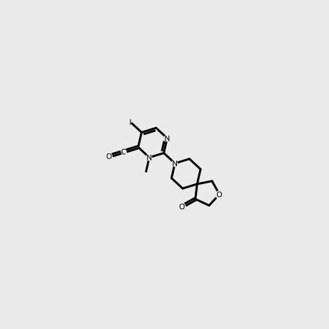 CN1C(=C=O)C(I)=CN=C1N1CCC2(CC1)COCC2=O